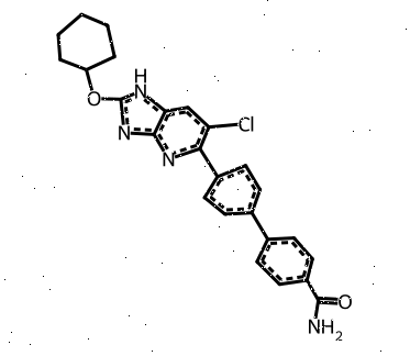 NC(=O)c1ccc(-c2ccc(-c3nc4nc(OC5CCCCC5)[nH]c4cc3Cl)cc2)cc1